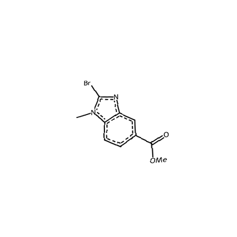 COC(=O)c1ccc2c(c1)nc(Br)n2C